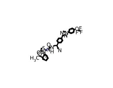 CC(C)c1ccccc1N1C(=O)CS/C1=N\C(=O)NCC(C#N)c1ccc(-c2ncn(-c3ccc(OC(F)(F)F)cc3)n2)cc1